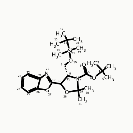 CC(C)(C)OC(=O)N1[C@@H](CO[Si](C)(C)C(C)(C)C)C(c2nc3ccccc3s2)OC1(C)C